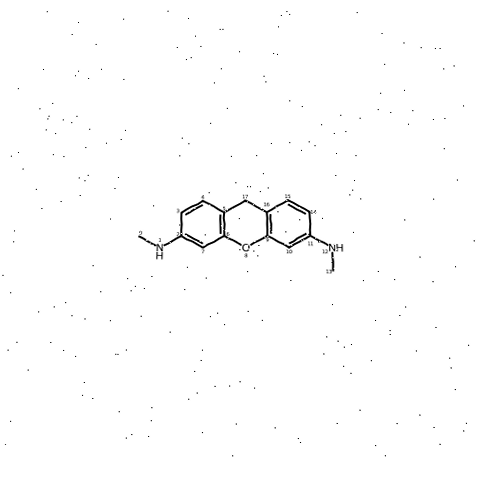 CNc1ccc2c(c1)Oc1cc(NC)ccc1C2